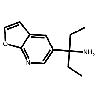 CCC(N)(CC)c1cnc2occc2c1